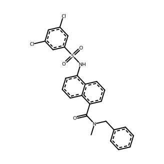 CN(Cc1ccccc1)C(=O)c1cccc2c(NS(=O)(=O)c3cc(Cl)cc(Cl)c3)cccc12